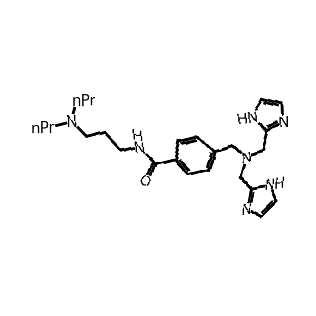 CCCN(CCC)CCCNC(=O)c1ccc(CN(Cc2ncc[nH]2)Cc2ncc[nH]2)cc1